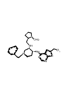 O=CN1CCCC1CN[C@H]1CN(Cc2ccccc2)CC[C@@H]1Nc1ncnc2sc(CC(F)(F)F)cc12